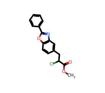 COC(=O)C(Cl)Cc1ccc2oc(-c3ccccc3)nc2c1